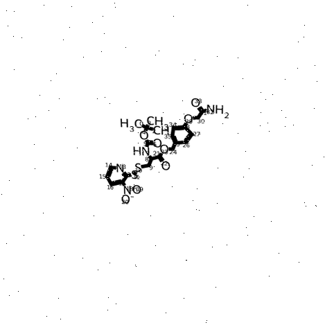 CC(C)(C)OC(=O)NC(CSSc1ncccc1[N+](=O)[O-])C(=O)OCc1ccc(OCC(N)=O)cc1